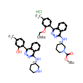 COCOc1cc(C(F)(F)F)ccc1-c1nnc(N[C@@H]2CCCN(C(=O)OC(C)(C)C)C2)c2ccccc12.Cl.Oc1cc(C(F)(F)F)ccc1-c1nnc(N[C@@H]2CCCNC2)c2ccccc12